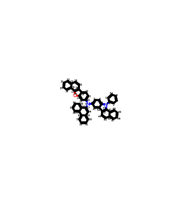 c1ccc(-n2c3ccc(N(c4ccc5c(c4)oc4c6ccccc6ccc54)c4cc5ccccc5c5ccccc45)cc3c3ccc4ccccc4c32)cc1